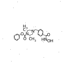 C[C@@H]1CN(Cc2ccc(C(=O)NO)cc2)C[C@H](C)N1C(=O)Oc1ccccc1